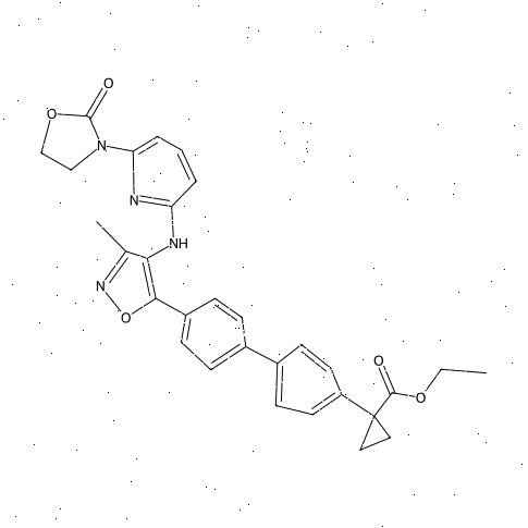 CCOC(=O)C1(c2ccc(-c3ccc(-c4onc(C)c4Nc4cccc(N5CCOC5=O)n4)cc3)cc2)CC1